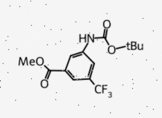 COC(=O)c1cc(NC(=O)OC(C)(C)C)cc(C(F)(F)F)c1